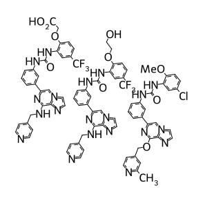 COc1ccc(Cl)cc1NC(=O)Nc1cccc(-c2cn3ccnc3c(OCc3ccnc(C)c3)n2)c1.O=C(Nc1cccc(-c2cn3ccnc3c(NCc3ccncc3)n2)c1)Nc1cc(C(F)(F)F)ccc1OCCO.O=C(O)COc1ccc(C(F)(F)F)cc1NC(=O)Nc1cccc(-c2cn3ccnc3c(NCc3ccncc3)n2)c1